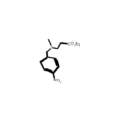 CCOC(=O)CCN(C)Cc1ccc([N+](=O)[O-])cc1